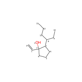 C=CC1(O)CCCC1C(CC)CCC